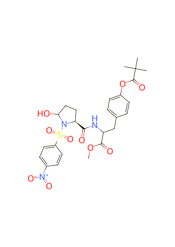 COC(=O)C(Cc1ccc(OC(=O)C(C)(C)C)cc1)NC(=O)[C@@H]1CCC(O)N1S(=O)(=O)c1ccc([N+](=O)[O-])cc1